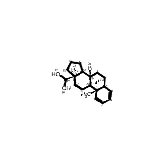 C[C@]12C=CC=CC1CC[C@H]1[C@@H]3CCC[C@@]3(C(O)O)CC[C@@H]12